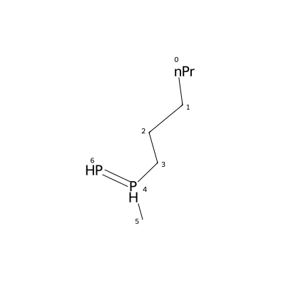 CCCCCC[PH](C)=P